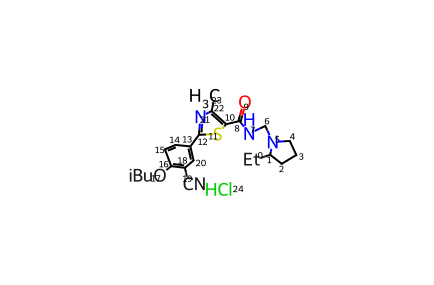 CCC1CCCN1CNC(=O)c1sc(-c2ccc(OCC(C)C)c(C#N)c2)nc1C.Cl